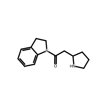 O=C(CC1CCCN1)N1CCc2cc[c]cc21